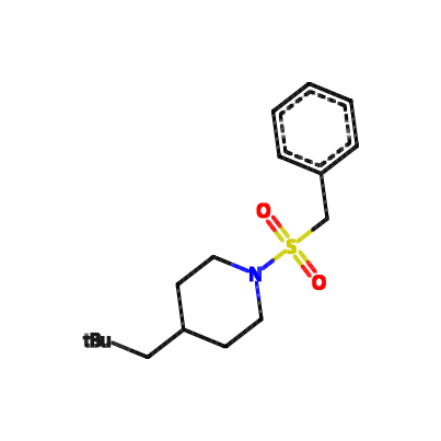 CC(C)(C)CC1CCN(S(=O)(=O)Cc2ccccc2)CC1